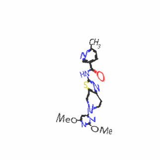 COc1cc(N2CCc3nc(NC(=O)c4ccc(C)nc4)sc3C2)nc(OC)n1